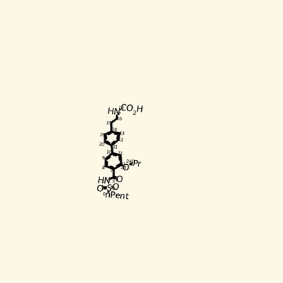 CCCCCS(=O)(=O)NC(=O)c1ccc(-c2ccc(CCNC(=O)O)cc2)cc1OC(C)C